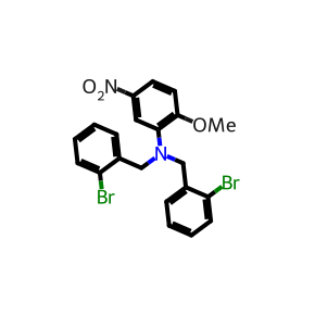 COc1ccc([N+](=O)[O-])cc1N(Cc1ccccc1Br)Cc1ccccc1Br